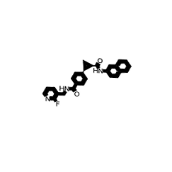 O=C(NCc1cccnc1F)c1ccc([C@@H]2C[C@H]2C(=O)Nc2ccc3ccccc3c2)cc1